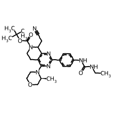 CCNC(=O)Nc1ccc(-c2nc3c(c(N4CCOC[C@@H]4C)n2)CCN(C(=O)OC(C)(C)C)C3CC#N)cc1